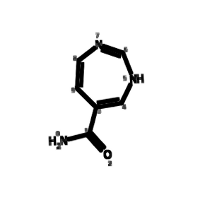 NC(=O)C1=CNC=NC=C1